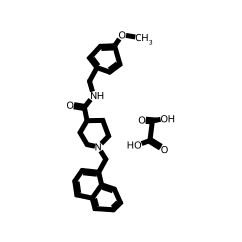 COc1ccc(CNC(=O)C2CCN(Cc3cccc4ccccc34)CC2)cc1.O=C(O)C(=O)O